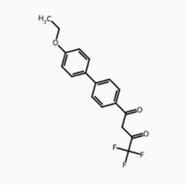 CCOc1ccc(-c2ccc(C(=O)CC(=O)C(F)(F)F)cc2)cc1